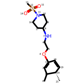 CC1C=C(OCCNC2CCN(S(C)(=O)=O)CC2)C=C[C@@H]1C